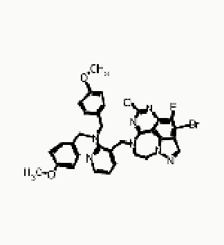 COc1ccc(CN(Cc2ccc(OC)cc2)c2ncccc2CN2CCn3ncc4c(Br)c(F)c5nc(Cl)nc2c5c43)cc1